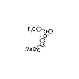 COC(=O)Cc1csc2cc(OCc3ccccc3OCc3ccc(C(F)(F)F)cc3)c(C)cc12